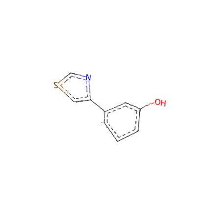 Oc1cc[c]c(-c2cscn2)c1